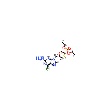 CCOP(=O)(OCC)[C@H]1O[C@H](Cn2cnc3c(Cl)nc(N)nc32)CS1